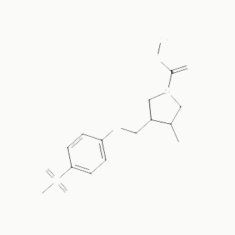 CC1CN(C(=O)OC(C)(C)C)CC1COc1ccc(S(C)(=O)=O)cc1